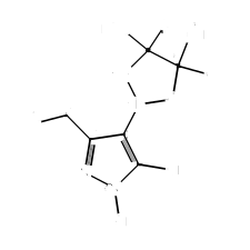 Cc1c(B2OC(C)(C)C(C)(C)O2)c(CO)nn1C